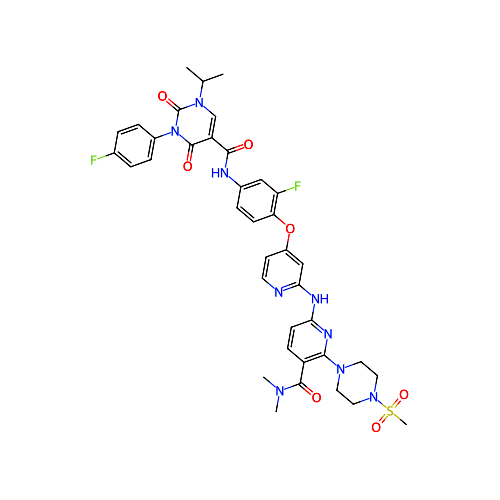 CC(C)n1cc(C(=O)Nc2ccc(Oc3ccnc(Nc4ccc(C(=O)N(C)C)c(N5CCN(S(C)(=O)=O)CC5)n4)c3)c(F)c2)c(=O)n(-c2ccc(F)cc2)c1=O